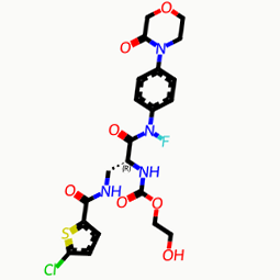 O=C(N[C@H](CNC(=O)c1ccc(Cl)s1)C(=O)N(F)c1ccc(N2CCOCC2=O)cc1)OCCO